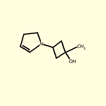 CC1(O)CC(N2C=CCC2)C1